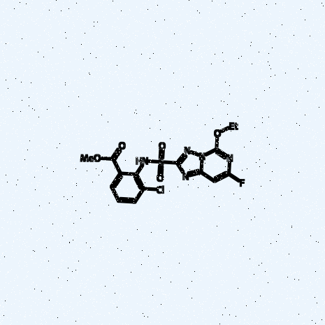 CCOc1nc(F)cc2nc(S(=O)(=O)Nc3c(Cl)cccc3C(=O)OC)nn12